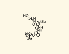 CC(C)(C)c1cc(NC(=O)N[C@H]2CC[C@@H](Oc3ccc4nnc(C(C)(C)C)n4c3)c3ccccc32)nc(C(=O)NCCN2CC[C@H](O)C2)n1